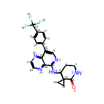 O=C1NCCC(Nc2ncc(-c3ccc(C(F)(F)F)cc3)c3nccnc23)C12CC2